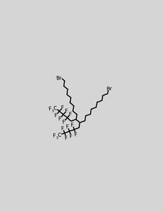 FC(F)(F)C(F)(F)C(F)(F)C(F)(F)CC(CCCCCCCCCBr)C(CCCCCCCCCBr)CC(F)(F)C(F)(F)C(F)(F)C(F)(F)F